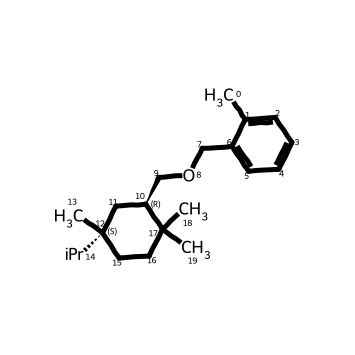 Cc1ccccc1COC[C@@H]1C[C@@](C)(C(C)C)CCC1(C)C